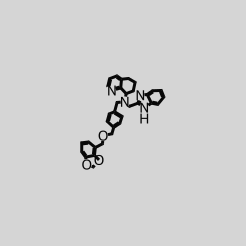 c1cnc2c(c1)CCCC2N(Cc1ccc(COCc2cccc3c2OCO3)cc1)Cc1nc2ccccc2[nH]1